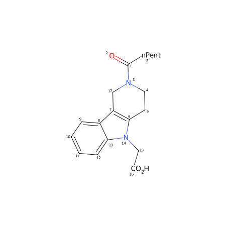 CCCCCC(=O)N1CCc2c(c3ccccc3n2CC(=O)O)C1